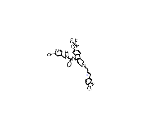 O=C(NCc1ccnc(Cl)c1)n1c2c(c3ccc(OC(F)(F)F)cc31)CN(C/C=C/c1ccc(Cl)c(F)c1)CC2